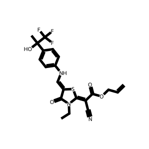 C=CCOC(=O)C(C#N)=c1sc(=CNc2ccc(C(C)(O)C(F)(F)F)cc2)c(=O)n1CC